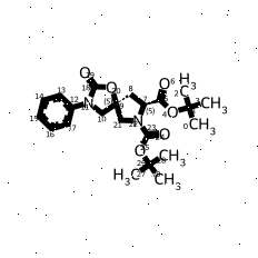 CC(C)(C)OC(=O)[C@@H]1C[C@@]2(CN(c3ccccc3)C(=O)O2)CN1C(=O)OC(C)(C)C